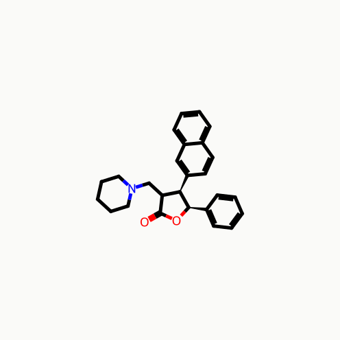 O=C1O[C@H](c2ccccc2)[C@H](c2ccc3ccccc3c2)C1CN1CCCCC1